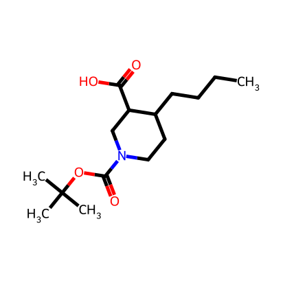 CCCCC1CCN(C(=O)OC(C)(C)C)CC1C(=O)O